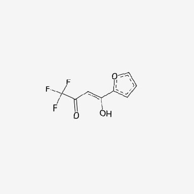 O=C(/C=C(\O)c1ccco1)C(F)(F)F